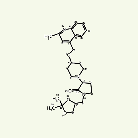 Cc1cc(COC2CCN(C3CCN(CC4COC(C)(C)O4)C3=O)CC2)c2ccccc2n1